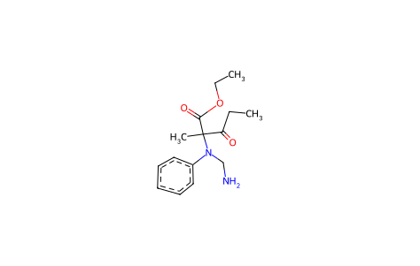 CCOC(=O)C(C)(C(=O)CC)N(CN)c1ccccc1